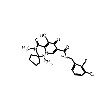 CN1C(=O)c2c(O)c(=O)c(C(=O)NCc3cccc(Cl)c3F)cn2N(C)C12CCCC2